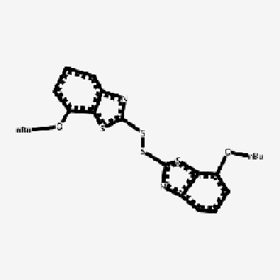 CCCCOc1cccc2nc(SSc3nc4cccc(OCCCC)c4s3)sc12